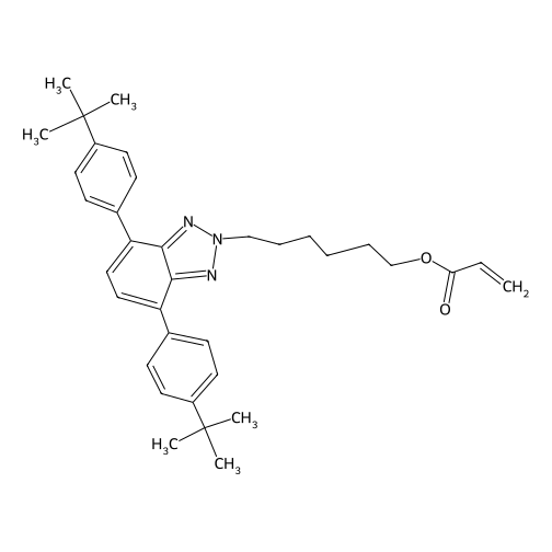 C=CC(=O)OCCCCCCn1nc2c(-c3ccc(C(C)(C)C)cc3)ccc(-c3ccc(C(C)(C)C)cc3)c2n1